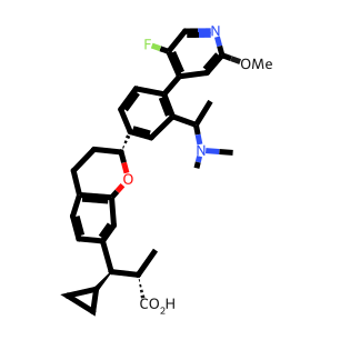 COc1cc(-c2ccc([C@H]3CCc4ccc([C@H](C5CC5)[C@H](C)C(=O)O)cc4O3)cc2C(C)N(C)C)c(F)cn1